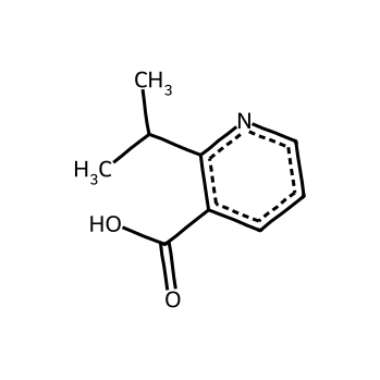 CC(C)c1ncccc1C(=O)O